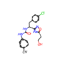 N#Cc1ccc(NC(=O)NC(Cc2ccc(Cl)cc2)c2noc(CCO)n2)cc1